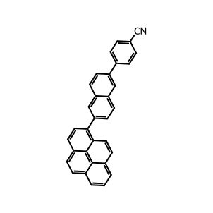 N#Cc1ccc(-c2ccc3cc(-c4ccc5ccc6cccc7ccc4c5c67)ccc3c2)cc1